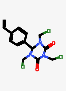 C=Cc1ccc(C2N(CCl)C(=O)N(CCl)C(=O)N2CCl)cc1